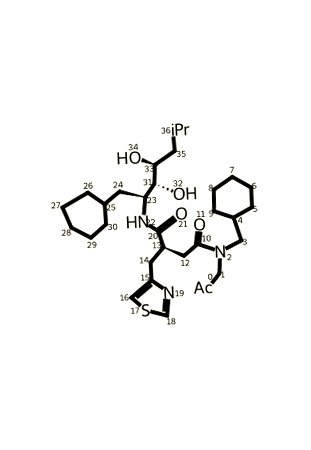 CC(=O)CN(CC1CCCCC1)C(=O)C[C@@H](Cc1cscn1)C(=O)N[C@@H](CC1CCCCC1)[C@@H](O)[C@@H](O)CC(C)C